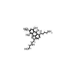 Cl.Cl.NCCCNc1ccc2c3c(nn2CCNCCO)-c2c(O)ccc(O)c2C(=O)c13